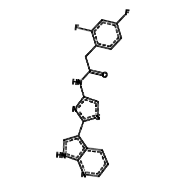 O=C(Cc1ccc(F)cc1F)Nc1csc(-c2c[nH]c3ncccc23)n1